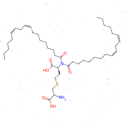 CCCCC/C=C\C/C=C\CCCCCCCC(=O)N(C(=O)CCCCCCC/C=C\C/C=C\CCCCC)[C@@H](CSSCC(N)C(=O)O)C(=O)O